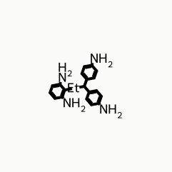 CCC(c1ccc(N)cc1)c1ccc(N)cc1.Cc1c(N)cccc1N